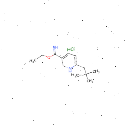 CCOC(=N)C1=CC=C(CC(C)(C)C)NC1.Cl